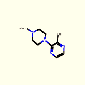 CCCC(C)N1CCN(c2nccnc2C#N)CC1